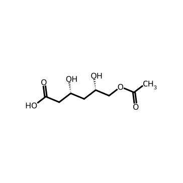 CC(=O)OC[C@@H](O)C[C@@H](O)CC(=O)O